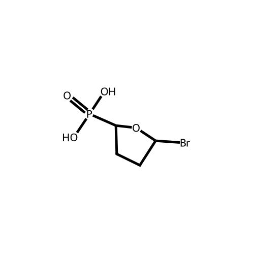 O=P(O)(O)C1CCC(Br)O1